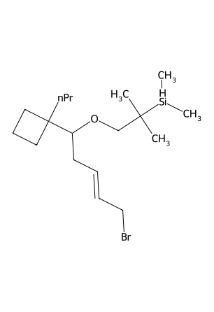 CCCC1(C(CC=CCBr)OCC(C)(C)[SiH](C)C)CCC1